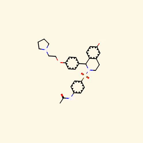 CC(=O)Nc1ccc(S(=O)(=O)N2CCc3cc(O)ccc3C2c2ccc(OCCN3CCCC3)cc2)cc1